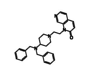 O=c1ccc2ccncc2n1CCN1CCC(N(Cc2ccccc2)Cc2ccccc2)CC1